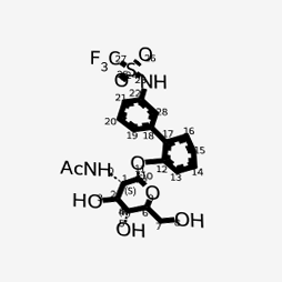 CC(=O)N[C@H]1C(O)[C@@H](O)C(CO)O[C@H]1Oc1ccccc1-c1cccc(NS(=O)(=O)C(F)(F)F)c1